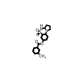 Cc1cccc(C(=O)Oc2ccc3c(c2)S(=O)(=O)NC2CCCN32)c1